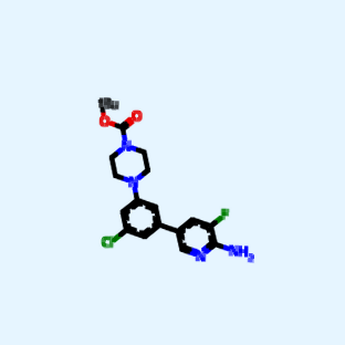 CC(C)(C)OC(=O)N1CCN(c2cc(Cl)cc(-c3cnc(N)c(F)c3)c2)CC1